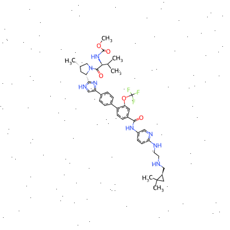 COC(=O)N[C@H](C(=O)N1C[C@@H](C)C[C@H]1c1nc(-c2ccc(-c3ccc(C(=O)Nc4ccc(NCCNC[C@H]5CC5(C)C)nc4)cc3OC(F)(F)F)cc2)c[nH]1)C(C)C